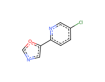 Clc1ccc(-c2cnco2)nc1